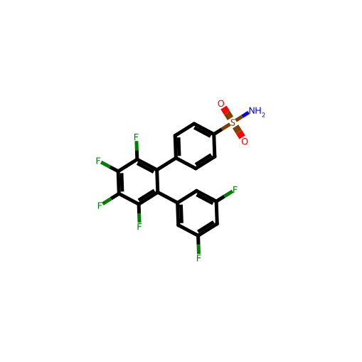 NS(=O)(=O)c1ccc(-c2c(F)c(F)c(F)c(F)c2-c2cc(F)cc(F)c2)cc1